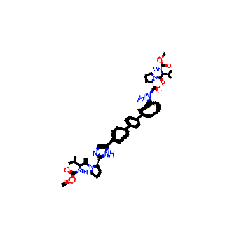 C=C([C@@H](NC(=O)OC)C(C)C)N1CCC[C@H]1c1ncc(-c2ccc(-c3ccc(-c4cccc(NC(=O)[C@@H]5CCCN5C(=O)[C@@H](NC(=O)OC)C(C)C)c4)cc3)cc2)[nH]1